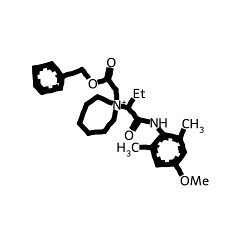 CCC(C(=O)Nc1c(C)cc(OC)cc1C)[N+]1(CC(=O)OCc2ccccc2)CCCCCC1